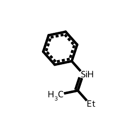 CCC(C)=[SiH]c1ccccc1